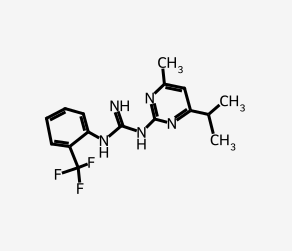 Cc1cc(C(C)C)nc(NC(=N)Nc2ccccc2C(F)(F)F)n1